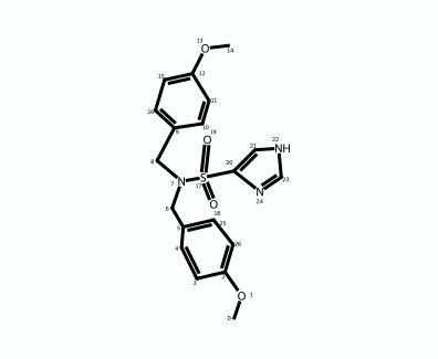 COc1ccc(CN(Cc2ccc(OC)cc2)S(=O)(=O)c2c[nH]cn2)cc1